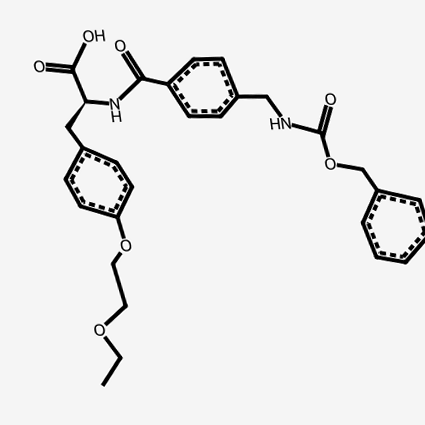 CCOCCOc1ccc(C[C@H](NC(=O)c2ccc(CNC(=O)OCc3ccccc3)cc2)C(=O)O)cc1